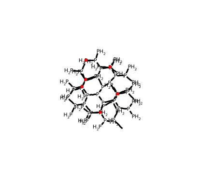 CPP(P(P)P)P(P(P)P)P(P(P(P)P)P(P)P)P(P(P(P(P)P)P(P)P)P(P(P)P)P(P)P)P(P(P(P(P)P)P(P)P)P(P(P)P)P(P)P)P(P(P(P)P)P(P)P)P(P(P)P)P(P)P